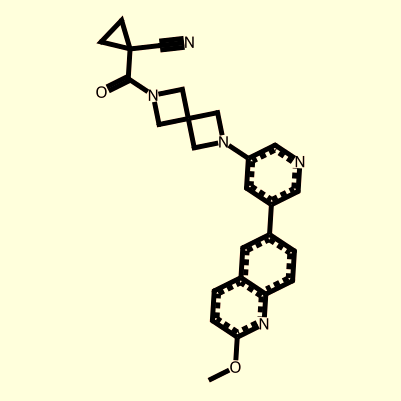 COc1ccc2cc(-c3cncc(N4CC5(CN(C(=O)C6(C#N)CC6)C5)C4)c3)ccc2n1